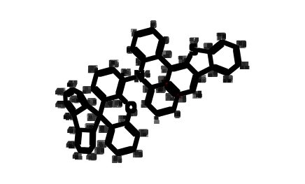 c1ccc(N(c2ccccc2-c2cccc3c2sc2ccccc23)c2cccc3c2Oc2ccccc2C32c3ccccc3-c3ccccc32)cc1